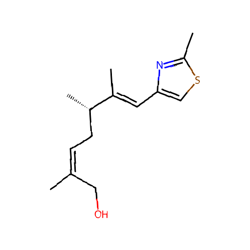 C/C(=C/C[C@H](C)/C(C)=C/c1csc(C)n1)CO